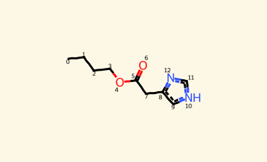 CCCCOC(=O)Cc1c[nH]cn1